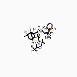 CC(C)(C)[C@H](NC(=O)C(F)(F)F)C(=O)N1[C@H]2CC[C@@H]([C@H]1C(=O)N[C@@H](/C=C(\F)S(C)(=O)=O)C[C@H]1CCNC1=O)C(F)(F)C2